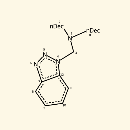 CCCCCCCCCCN(CCCCCCCCCC)Cn1nnc2ccccc21